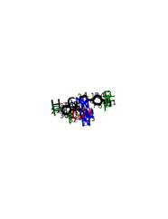 C[C@@H](n1ccc(-c2ccc(C(F)(F)F)cc2)n1)[C@](O)(Cn1cncn1)c1ccc(F)cc1F